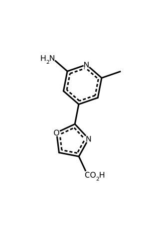 Cc1cc(-c2nc(C(=O)O)co2)cc(N)n1